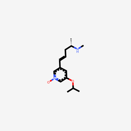 CN[C@@H](C)C/C=C/c1cc(OC(C)C)c[n+]([O-])c1